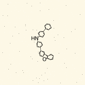 c1ccc(-c2ccc(Nc3ccc(-c4ccc5oc6ccccc6c5c4)cc3)cc2)cc1